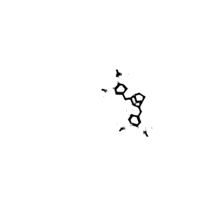 CC(=O)Oc1ccc(CC2C(=O)C(Cc3ccc(OC(C)=O)c(OC(C)=O)c3)C3CCC2C3)cc1OC(C)=O